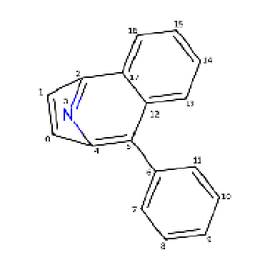 C1=Cc2nc1c(-c1ccccc1)c1ccccc21